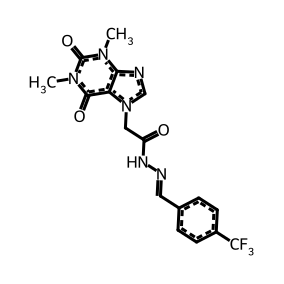 Cn1c(=O)c2c(ncn2CC(=O)NN=Cc2ccc(C(F)(F)F)cc2)n(C)c1=O